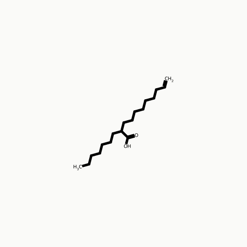 C=CCCCCCCCC(CCCCCCC)C(=O)O